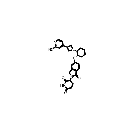 N#Cc1cc(C2CN([C@@H]3CCCC[C@@H]3Oc3ccc4c(c3)CN(C3CCC(=O)NC3=O)C4=O)C2)ccn1